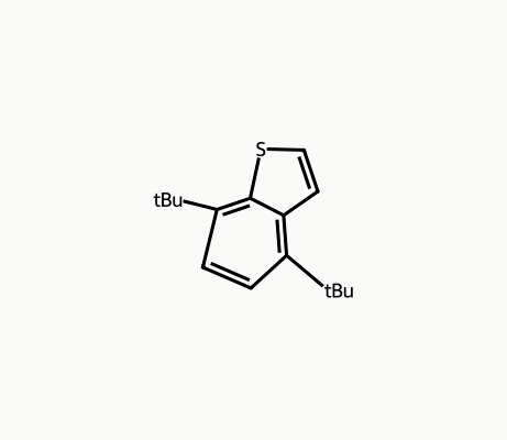 CC(C)(C)c1ccc(C(C)(C)C)c2sccc12